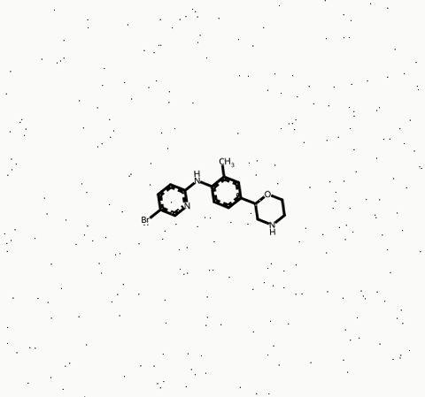 Cc1cc(C2CNCCO2)ccc1Nc1ccc(Br)cn1